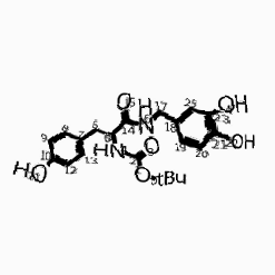 CC(C)(C)OC(=O)N[C@@H](Cc1ccc(O)cc1)C(=O)NCc1ccc(O)c(O)c1